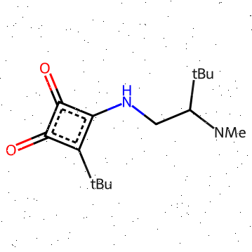 CNC(CNc1c(C(C)(C)C)c(=O)c1=O)C(C)(C)C